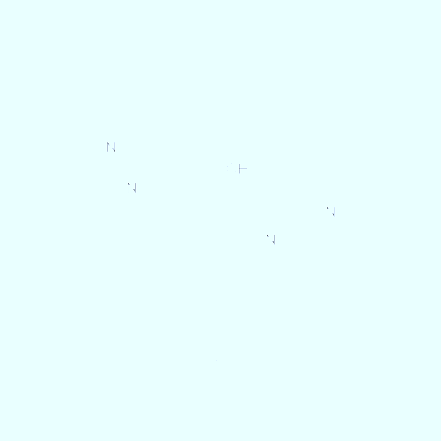 Cc1cc2n(n1)CCC(C1c3ccccc3-c3cncn31)C2O